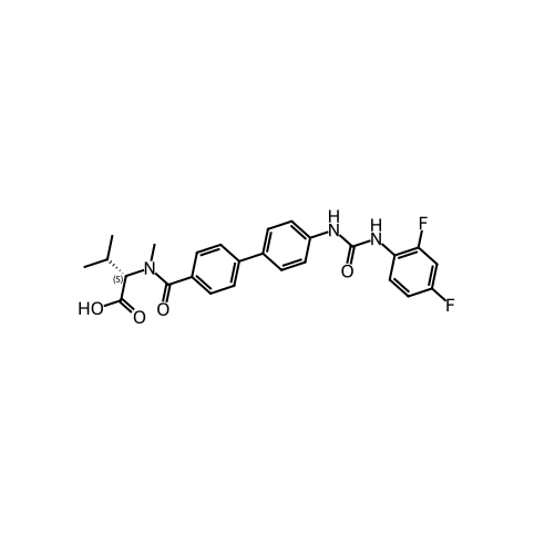 CC(C)[C@@H](C(=O)O)N(C)C(=O)c1ccc(-c2ccc(NC(=O)Nc3ccc(F)cc3F)cc2)cc1